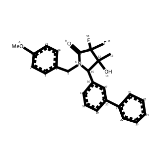 COc1ccc(CN2C(=O)C(F)(F)C(C)(O)C2c2cccc(-c3ccccc3)c2)cc1